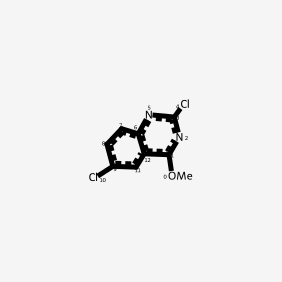 COc1nc(Cl)nc2ccc(Cl)cc12